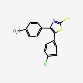 O=[N+]([O-])c1ccc(-c2nc(S)sc2-c2ccc(Cl)cc2)cc1